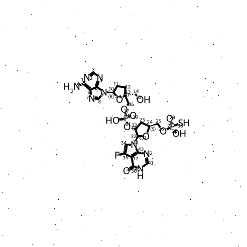 Nc1ncnc2c1ncn2[C@H]1CC[C@@](CO)(COP(=O)(O)O[C@@H]2C[C@@H](COP(=O)(O)S)O[C@H]2n2cc(F)c3c(=O)[nH]cnc32)O1